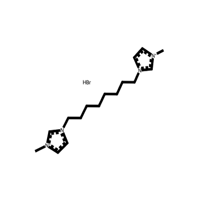 Br.C[n+]1ccn(CCCCCCCCn2cc[n+](C)c2)c1